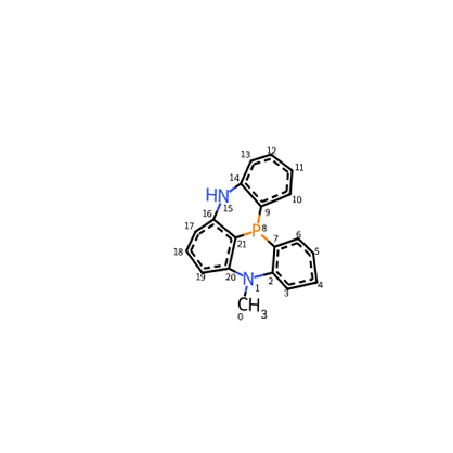 CN1c2ccccc2P2c3ccccc3Nc3cccc1c32